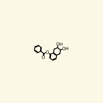 O=C(Oc1cccc2c1CC(O)C(O)C2)c1ccccc1